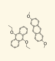 CCOc1c2ccccc2c(OCC)c2ccccc12.COc1ccc2cc3cc(OC)ccc3cc2c1